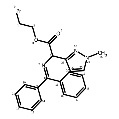 CC(C)CCOC(=O)C(N=C(c1ccccc1)c1ccccc1)c1ccn(C)n1